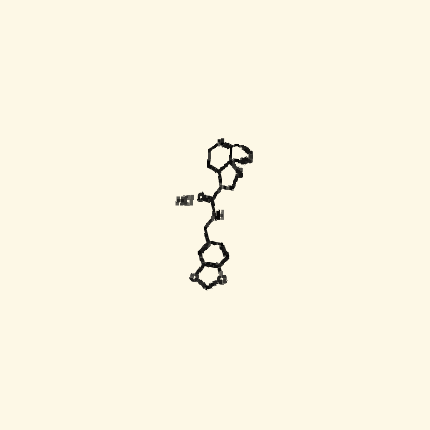 Cl.O=C(NCc1ccc2c(c1)OCO2)C1CSC23C=CC=CC2=NCCC13